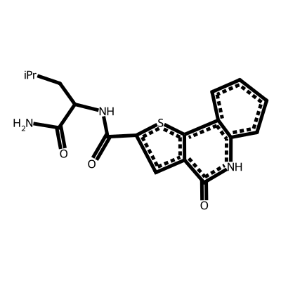 CC(C)CC(NC(=O)c1cc2c(=O)[nH]c3ccccc3c2s1)C(N)=O